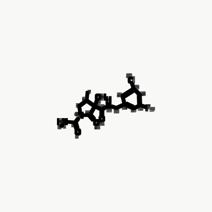 CNC(=O)N1CC(C)C(O)(C(=O)NCc2cc(F)cc(Cl)c2)C1=O